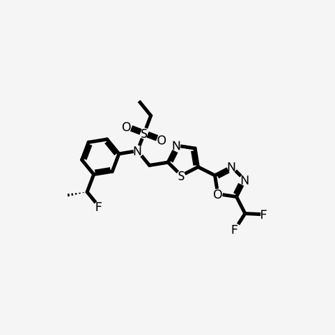 CCS(=O)(=O)N(Cc1ncc(-c2nnc(C(F)F)o2)s1)c1cccc([C@@H](C)F)c1